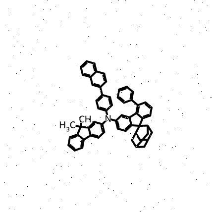 CC1(C)c2ccccc2-c2ccc(N(c3ccc(-c4ccc5ccccc5c4)cc3)c3ccc4c(c3)-c3c(-c5ccccc5)cccc3C43C4CC5CC(C4)CC3C5)cc21